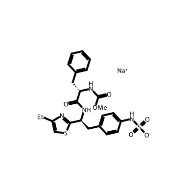 CCc1csc([C@H](Cc2ccc(NS(=O)(=O)[O-])cc2)NC(=O)[C@H](Cc2ccccc2)NC(=O)OC)n1.[Na+]